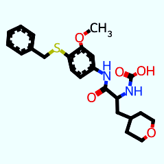 COc1cc(NC(=O)C(CC2CCOCC2)NC(=O)O)ccc1SCc1ccccc1